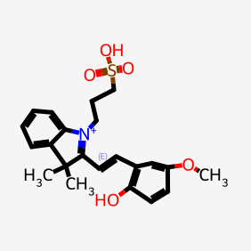 COc1ccc(O)c(/C=C/C2=[N+](CCCS(=O)(=O)O)c3ccccc3C2(C)C)c1